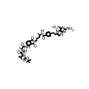 CC(C)[C@H](NC(=O)OC(C)(C)C)C(=O)N[C@@H](C)C(=O)Nc1ccc2c(c1)C(=O)N(CCC[C@@H](C)NC(=O)c1ccc(CCc3cnc4nc(N)nc(N)c4n3)cc1)C2=O